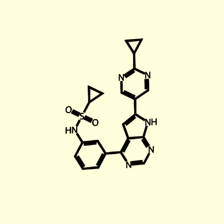 O=S(=O)(Nc1cccc(-c2ncnc3[nH]c(-c4cnc(C5CC5)nc4)cc23)c1)C1CC1